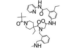 CCc1ccc(NC(=O)CN(Cc2ccccc2CNC)C(=O)C2(CC)CCN(C(=O)C(C)(C)C)CC2)cc1CC(=O)Nc1ccccn1